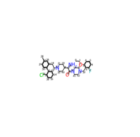 CCOc1cccc(F)c1CN1CCN(C(=O)[C@H](N)C2CCN(CCc3cc(C)ccc3-c3ccccc3Cl)CC2)CC1